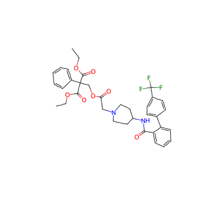 CCOC(=O)C(COC(=O)CN1CCC(NC(=O)c2ccccc2-c2ccc(C(F)(F)F)cc2)CC1)(C(=O)OCC)c1ccccc1